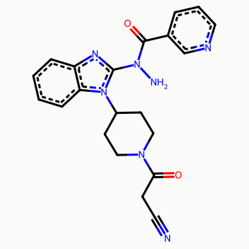 N#CCC(=O)N1CCC(n2c(N(N)C(=O)c3cccnc3)nc3ccccc32)CC1